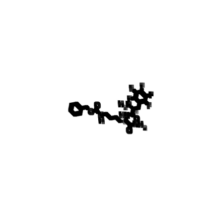 NC(=O)[C@H](CCCCNC(=O)OCc1ccccc1)NC(=O)[C@@H](N)Cc1c(F)c(F)c(F)c(F)c1F